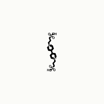 O=S(=O)(O)CCC[n+]1ccc(-c2cc[n+](CCCS(=O)(=O)O)cc2)cc1